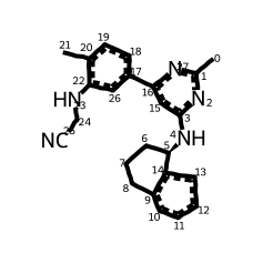 Cc1nc(N[C@@H]2CCCc3ccccc32)cc(-c2ccc(C)c(NCC#N)c2)n1